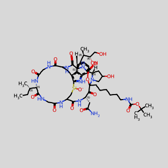 CC[C@H](C)[C@@H]1NC(=O)CNC(=O)C2Cc3c4[nH]c5cc(ccc35)OC(CCCCCCNC(=O)OC(C)(C)C)(C(=O)[C@H](CC(N)=O)NC(=O)C(C[S+]4[O-])NC(=O)CNC1=O)N1CC(O)C[C@H]1C(=O)N[C@@H]([C@@H](C)[C@@H](O)CO)C(=O)N2